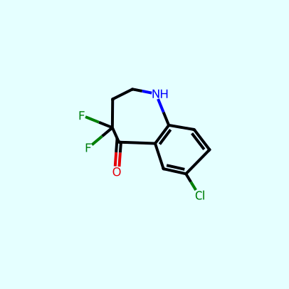 O=C1c2cc(Cl)ccc2NCCC1(F)F